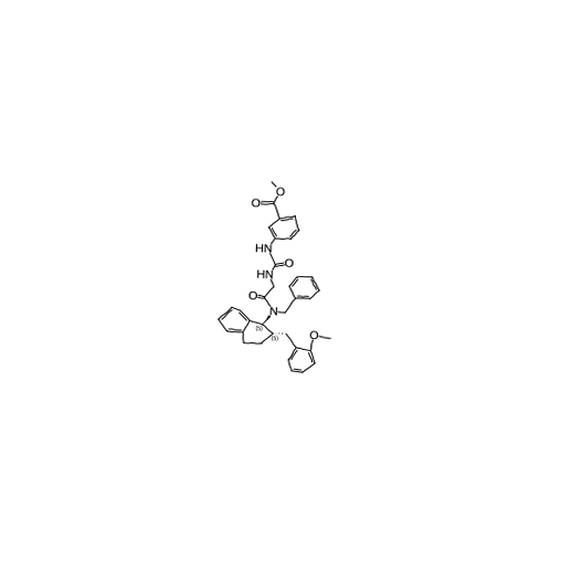 COC(=O)c1cccc(NC(=O)NCC(=O)N(Cc2ccccc2)[C@@H]2c3ccccc3CC[C@H]2Cc2ccccc2OC)c1